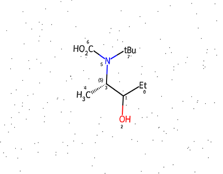 CCC(O)[C@H](C)N(C(=O)O)C(C)(C)C